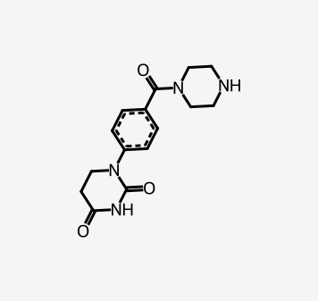 O=C1CCN(c2ccc(C(=O)N3CCNCC3)cc2)C(=O)N1